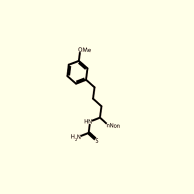 CCCCCCCCCC(CCCc1cccc(OC)c1)NC(N)=S